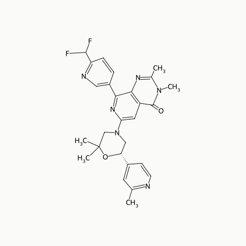 Cc1cc([C@H]2CN(c3cc4c(=O)n(C)c(C)nc4c(-c4ccc(C(F)F)nc4)n3)CC(C)(C)O2)ccn1